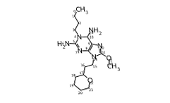 CCCCN1C(N)=Nc2c(nc(OC)n2CCC2CCCCO2)C1N